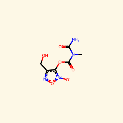 CN(C(N)=O)C(=O)Oc1c(CO)no[n+]1[O-]